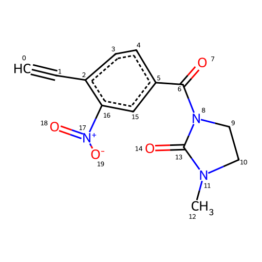 C#Cc1ccc(C(=O)N2CCN(C)C2=O)cc1[N+](=O)[O-]